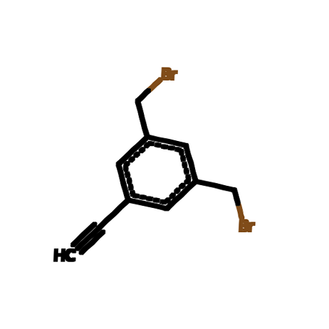 C#Cc1cc(CBr)cc(CBr)c1